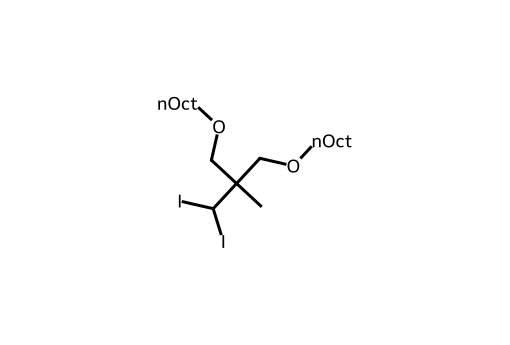 CCCCCCCCOCC(C)(COCCCCCCCC)C(I)I